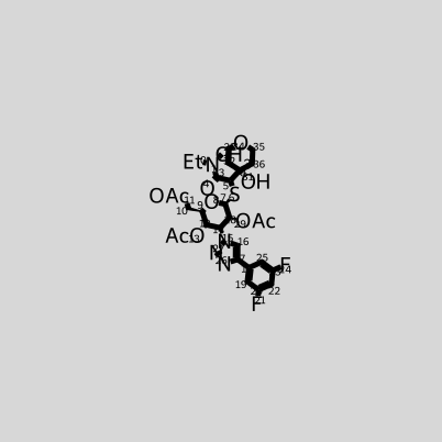 CCN(C)C(=O)C(S[C@@H]1O[C@H](COC(C)=O)[C@H](OC(C)=O)[C@H](n2cc(-c3cc(F)cc(F)c3)nn2)[C@H]1OC(C)=O)C1(O)CCOCC1